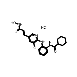 Cl.O=C(/C=C/c1cnc(Nc2ccccc2NC(=O)C2CCCCC2)c(Cl)c1)NO